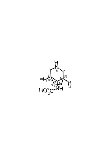 O=C(O)NC1[C@@H]2CC[C@H]1CNC2